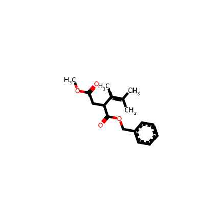 COC(=O)CC(C(=O)OCc1ccccc1)C(C)=C(C)C